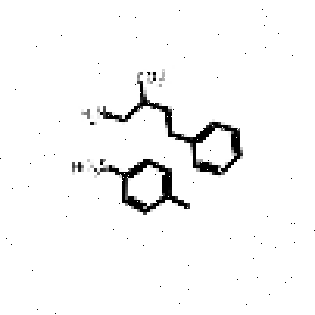 Cc1ccc(S(=O)(=O)O)cc1.NCC(CCc1ccccc1)C(=O)O